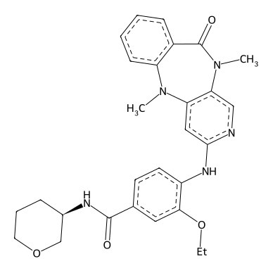 CCOc1cc(C(=O)N[C@@H]2CCCOC2)ccc1Nc1cc2c(cn1)N(C)C(=O)c1ccccc1N2C